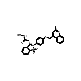 Cc1cc(COc2ccc(N3[C@@H](CC(=O)NO)C4C=CC=CC4S3(=O)=O)cc2)c2ccccc2n1